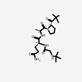 C[C@H](NC(=O)[C@H](CCC(N)=O)NC(=O)CNC(C)(C)C)C(=O)N1CCC[C@H]1C(=O)C(C)(C)C